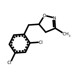 CC1=NOC(Cc2ccc(Cl)cc2Cl)C1